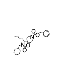 CCCCC1N(CC2CCCCC2)C(=O)OC12CCN(C(=O)OCc1ccccc1)CC2